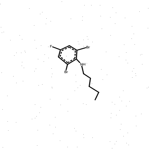 CCCCCNc1c(Br)cc(F)cc1Br